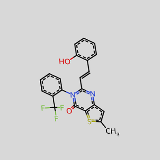 Cc1cc2nc(C=Cc3ccccc3O)n(-c3ccccc3C(F)(F)F)c(=O)c2s1